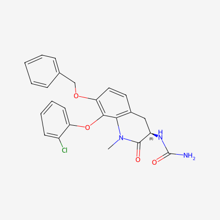 CN1C(=O)[C@H](NC(N)=O)Cc2ccc(OCc3ccccc3)c(Oc3ccccc3Cl)c21